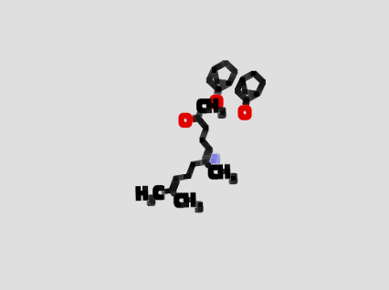 CC(=O)CC/C=C(/C)CCC=C(C)C.O=C1CC2CCC1C2.O=C1CC2CCC1C2